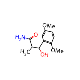 COc1ccc(OC)c(C(O)C(C)C(N)=O)c1